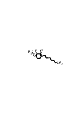 CCCCCCCc1ccc(OC)c(F)c1F